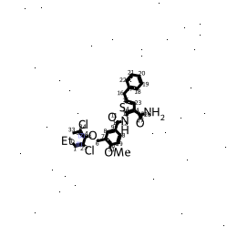 CC/C=C(Cl)\C(OCc1cc(C(=O)Nc2sc(Cc3ccccc3)cc2C(N)=O)ccc1OC)=C(/C)Cl